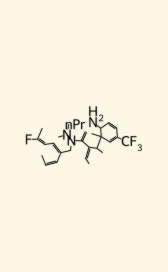 C=C(/C(=C/C)C(C)C1(C)C=C(C(F)(F)F)C=CC1N)N(CC(/C=C\C)=C/C=C(\C)F)N(C)CCC